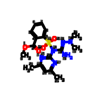 COC(=O)c1ccccc1S(=O)(=O)N(C(N)=NN(C)C)c1nc(C)cc(C)n1